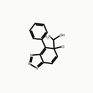 NC(O)C1(Cl)C=CC2=NN=NC2=C1c1ccccc1